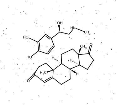 CNC[C@H](O)c1ccc(O)c(O)c1.C[C@]12CCC(=O)C=C1CC[C@@H]1[C@@H]2CC[C@]2(C)C(=O)CC[C@@H]12